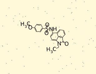 CCN1C(=O)c2cccc3c(NS(=O)(=O)c4ccc(OC)cc4)ccc1c23